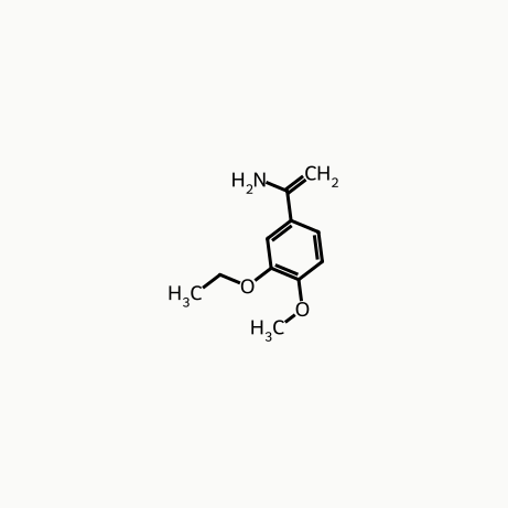 C=C(N)c1ccc(OC)c(OCC)c1